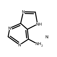 Nc1ncnc2nc[nH]c12.[N]